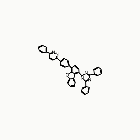 c1ccc(-c2ccc(-c3ccc(-c4ccc(-c5nc(-c6ccccc6)nc(-c6ccccc6)n5)c5c4oc4ccccc45)cc3)nn2)cc1